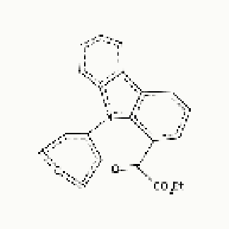 CCOC(=O)C(=O)c1cccc2c3ccccc3n(-c3ccccc3)c12